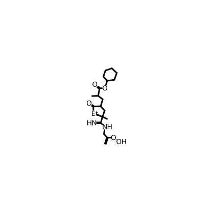 C=C(CNC(=N)C(C)(C)CC(CC(C)C(=O)OC1CCCCC1)C(=O)CC)OO